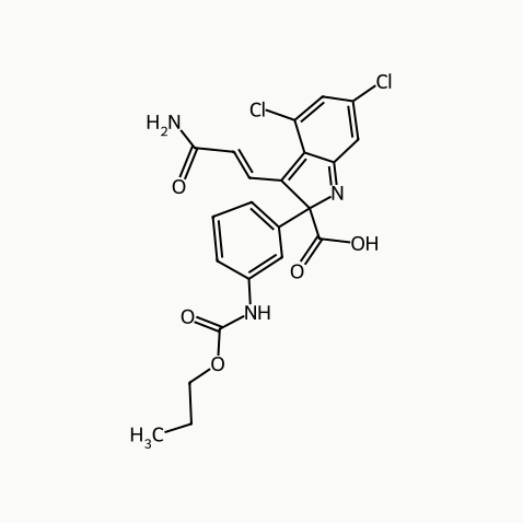 CCCOC(=O)Nc1cccc(C2(C(=O)O)N=c3cc(Cl)cc(Cl)c3=C2C=CC(N)=O)c1